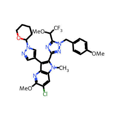 COc1ccc(Cn2nc(-c3c(-c4cnn(C5CCCCO5)c4)c4nc(OC)c(Cl)cc4n3C)nc2C(OC)C(F)(F)F)cc1